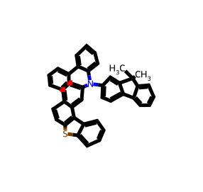 CC1(C)c2ccccc2-c2ccc(N(c3ccc4ccc5sc6ccccc6c5c4c3)c3ccccc3-c3ccccc3)cc21